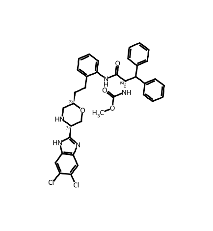 COC(=O)N[C@H](C(=O)Nc1ccccc1CC[C@@H]1CN[C@H](c2nc3cc(Cl)c(Cl)cc3[nH]2)CO1)C(c1ccccc1)c1ccccc1